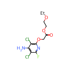 CCOCCOC(=O)COc1nc(F)c(Cl)c(N)c1Cl